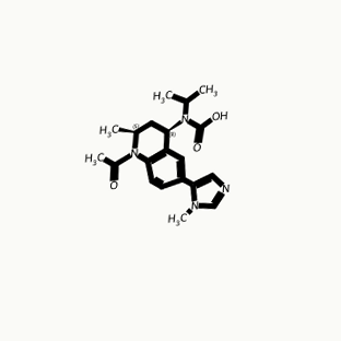 CC(=O)N1c2ccc(-c3cncn3C)cc2[C@H](N(C(=O)O)C(C)C)C[C@@H]1C